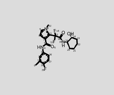 Cc1cc(NC(=O)c2ccn(C)c2C(F)(F)C(=O)N[C@@H]2CCCC[C@H]2O)ccc1F